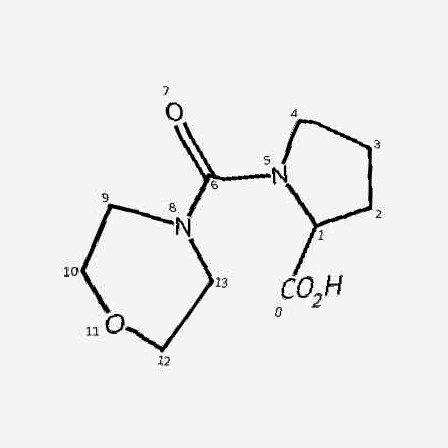 O=C(O)C1CCCN1C(=O)N1CCOCC1